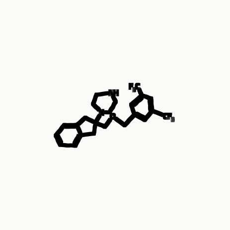 FC(F)(F)c1cc(COCC2(N3CCNCC3)Cc3ccccc3C2)cc(C(F)(F)F)c1